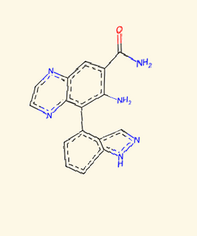 NC(=O)c1cc2nccnc2c(-c2cccc3[nH]ncc23)c1N